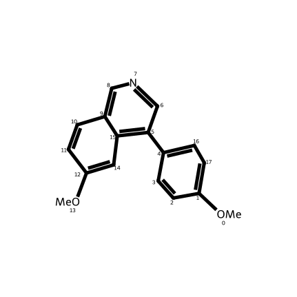 COc1ccc(-c2cncc3ccc(OC)cc23)cc1